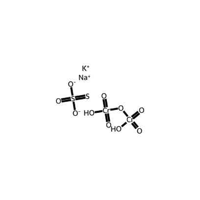 O=S([O-])([O-])=S.[K+].[Na+].[O]=[Cr](=[O])([OH])[O][Cr](=[O])(=[O])[OH]